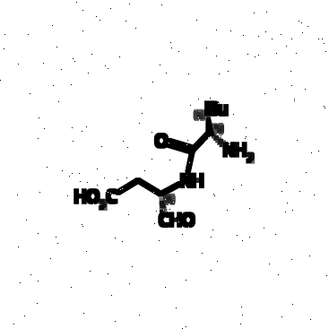 CC[C@H](C)[C@H](N)C(=O)N[C@H](C=O)CC(=O)O